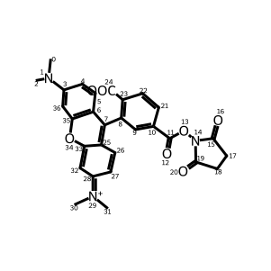 CN(C)c1ccc2c(-c3cc(C(=O)ON4C(=O)CCC4=O)ccc3C(=O)[O-])c3ccc(=[N+](C)C)cc-3oc2c1